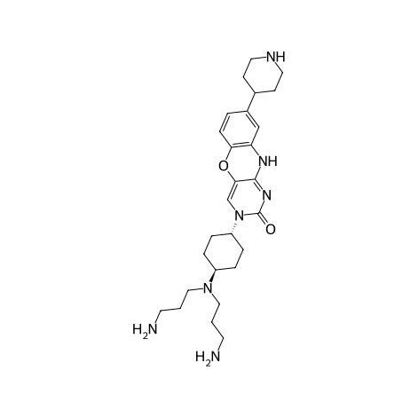 NCCCN(CCCN)[C@H]1CC[C@H](n2cc3c(nc2=O)Nc2cc(C4CCNCC4)ccc2O3)CC1